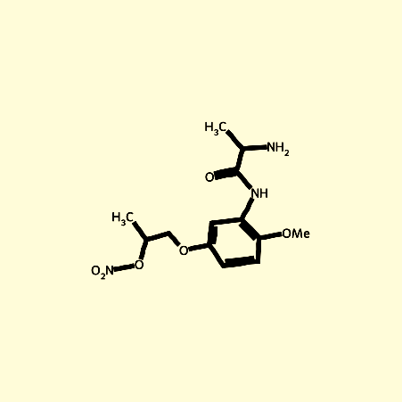 COc1ccc(OCC(C)O[N+](=O)[O-])cc1NC(=O)C(C)N